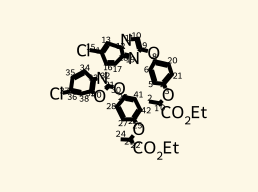 CCOC(=O)C(C)Oc1ccc(Oc2cnc3cc(Cl)ccc3n2)cc1.CCOC(=O)C(C)Oc1ccc(Oc2nc3ccc(Cl)cc3o2)cc1